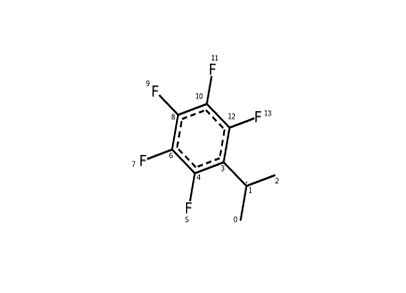 C[C](C)c1c(F)c(F)c(F)c(F)c1F